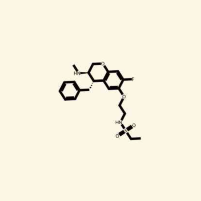 CCS(=O)(=O)NCCOc1cc2c(cc1F)OC[C@H](NC)[C@H]2Cc1ccccc1